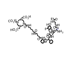 CCC(=O)NCCNC(=O)/N=C(/N)NCCC[C@@H](NC(=O)[C@H](c1ccccc1)N1Cc2cccc(NC(=O)CCCNC(=O)CCCCCNC(=O)CN3CCN(CC(=O)O)CCN(CC(=O)O)CCN(CC(=O)O)CC3)c2C1)C(=O)NCc1c(F)cc(O)cc1F